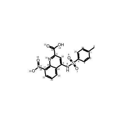 Cc1ccc(S(=O)(=O)Nc2cc(C(=O)O)nc3c([N+](=O)[O-])cccc23)cc1